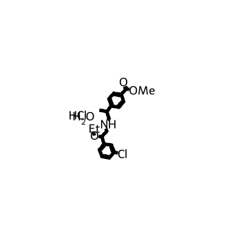 CCOC(CNCC(C)c1ccc(C(=O)OC)cc1)c1cccc(Cl)c1.Cl.O